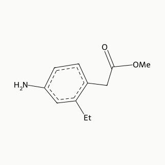 CCc1cc(N)ccc1CC(=O)OC